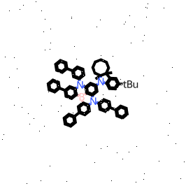 CC(C)(C)c1ccc2c(c1)C1(C)CCCCCCC1(C)N2c1cc2c3c(c1)N(c1cccc(-c4ccccc4)c1)c1cc(-c4ccccc4)ccc1B3c1cc(-c3ccccc3)ccc1N2c1ccc(-c2ccccc2)cc1